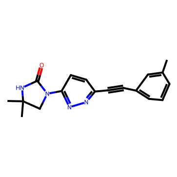 Cc1cccc(C#Cc2ccc(N3CC(C)(C)NC3=O)nn2)c1